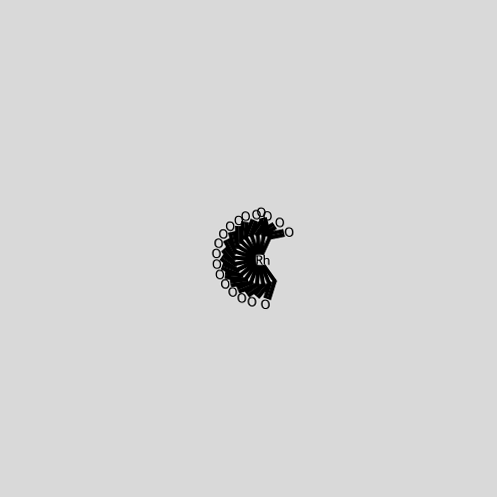 O=[CH][Rh]([CH]=O)([CH]=O)([CH]=O)([CH]=O)([CH]=O)([CH]=O)([CH]=O)([CH]=O)([CH]=O)([CH]=O)([CH]=O)([CH]=O)([CH]=O)([CH]=O)([CH]=O)([CH]=O)[CH]=O